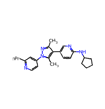 CCCc1cc(-n2nc(C)c(-c3ccc(NC4CCCC4)nc3)c2C)ccn1